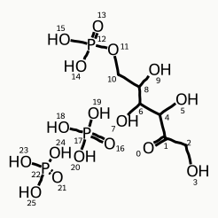 O=C(CO)C(O)C(O)C(O)COP(=O)(O)O.O=P(O)(O)O.O=P(O)(O)O